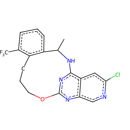 CC1Nc2nc(nc3cnc(Cl)cc23)OCCCc2c1cccc2C(F)(F)F